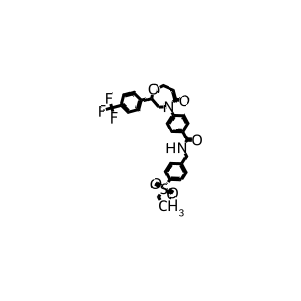 CCS(=O)(=O)c1ccc(CNC(=O)c2ccc(N3CC(c4ccc(C(F)(F)F)cc4)OCCC3=O)cc2)cc1